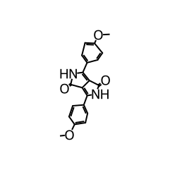 COc1ccc(C2=C3C(=O)NC(c4ccc(OC)cc4)=C3C(=O)N2)cc1